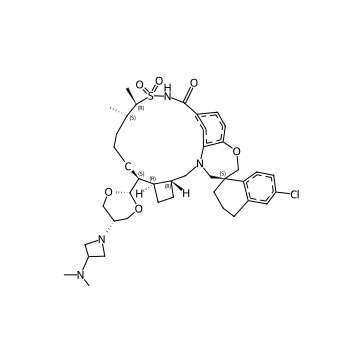 C[C@@H]1[C@@H](C)CCC[C@H]([C@H]2OC[C@@H](N3CC(N(C)C)C3)CO2)[C@@H]2CC[C@H]2CN2C[C@@]3(CCCc4cc(Cl)ccc43)COc3ccc(cc32)C(=O)NS1(=O)=O